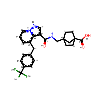 O=C(NCC12CCC(C(=O)O)(CC1)C2)c1cnn2cccc(Cc3ccc(C(F)(F)F)cc3)c12